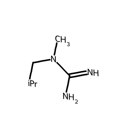 CC(C)CN(C)C(=N)N